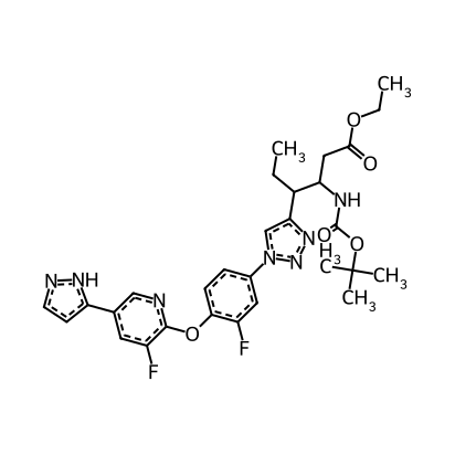 CCOC(=O)CC(NC(=O)OC(C)(C)C)C(CC)c1cn(-c2ccc(Oc3ncc(-c4ccn[nH]4)cc3F)c(F)c2)nn1